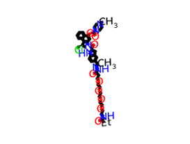 CCC(=O)NCCOCCOCCOCCOCCC(=O)N/N=C(\C)c1ccc2[nH]c(C(=O)N3C[C@@H](CCl)c4c3cc(OC(=O)N3CCN(C)CC3)c3ccccc43)cc2c1